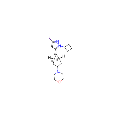 Ic1cc([C@H]2[C@@H]3CC(N4CCOCC4)C[C@@H]32)n(C2CCC2)n1